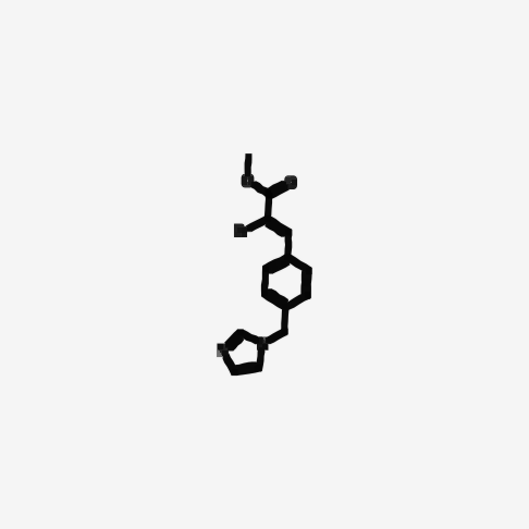 COC(=O)/C(Br)=C/c1ccc(Cn2ccnc2)cc1